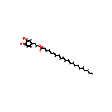 CCCCCCCCC/C=C/C=C/C=C/C=C/C=C/C=C/C(=O)OCCc1ccc(O)c(O)c1